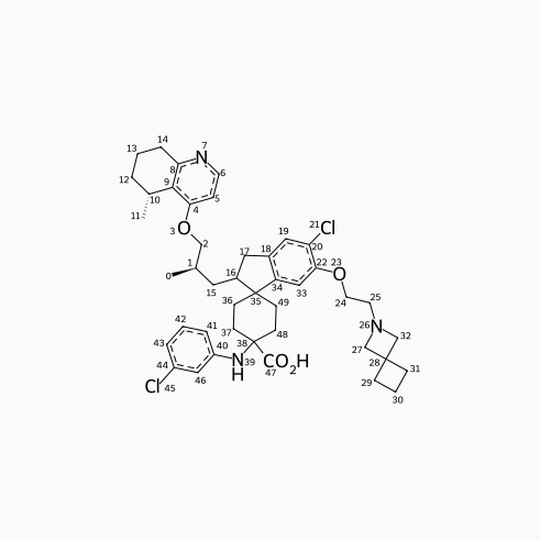 C[C@@H](COc1ccnc2c1[C@H](C)CCC2)CC1Cc2cc(Cl)c(OCCN3CC4(CCC4)C3)cc2C12CCC(Nc1cccc(Cl)c1)(C(=O)O)CC2